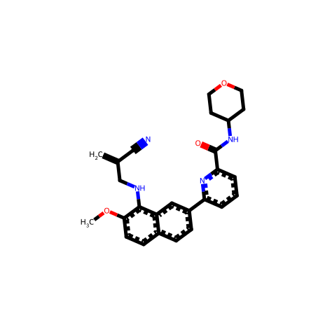 C=C(C#N)CNc1c(OC)ccc2ccc(-c3cccc(C(=O)NC4CCOCC4)n3)cc12